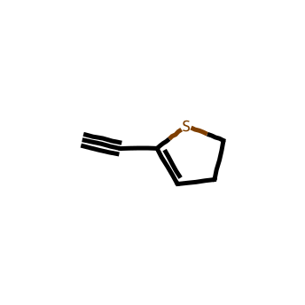 C#CC1=CCCS1